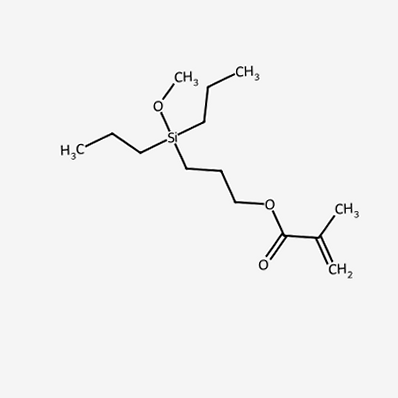 C=C(C)C(=O)OCCC[Si](CCC)(CCC)OC